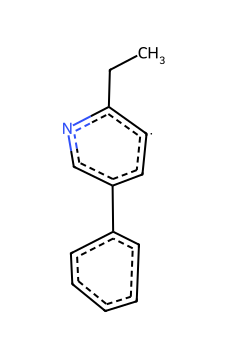 CCc1[c]cc(-c2ccccc2)cn1